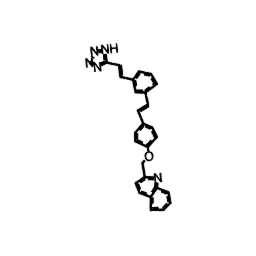 C(=C\c1cccc(/C=C/c2nnn[nH]2)c1)/c1ccc(OCc2ccc3ccccc3n2)cc1